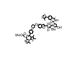 COC(=O)C[C@@H]1N=C(c2ccc(N3CCC(Oc4ccc5oc(C(=O)N[C@H](C(=O)N6C[C@H](O)C[C@H]6C(=O)N[C@@H](C)c6ccc(-c7scnc7C)cc6)C(C)(C)C)cc5c4)C3)cc2)c2c(sc(C)c2C)-n2c(C)nnc21